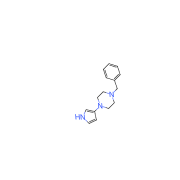 c1ccc(CN2CCN(c3cc[nH]c3)CC2)cc1